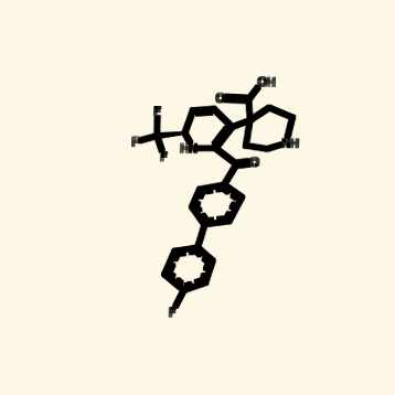 O=C(C1=C(C2(C(=O)O)CCNCC2)C=C[C@H](C(F)(F)F)N1)c1ccc(-c2ccc(F)cc2)cc1